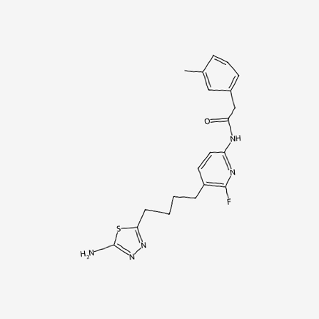 Cc1cccc(CC(=O)Nc2ccc(CCCCc3nnc(N)s3)c(F)n2)c1